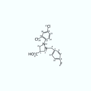 O=C(O)C1CN(Cc2ccc(F)cc2)N(c2ccc(Cl)cc2Cl)C1